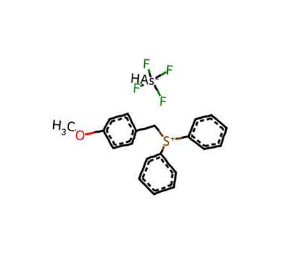 COc1ccc(C[S+](c2ccccc2)c2ccccc2)cc1.F[AsH-](F)(F)F